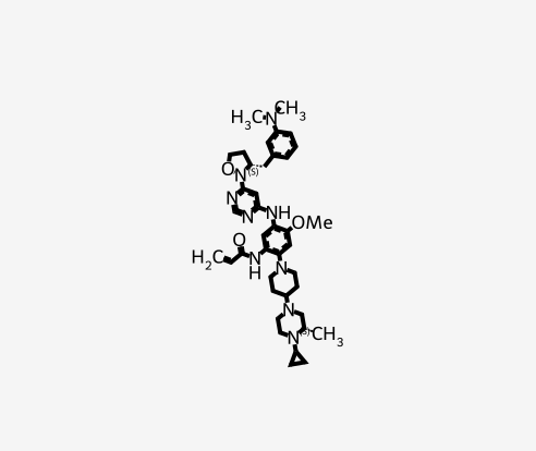 C=CC(=O)Nc1cc(Nc2cc(N3OCC[C@@H]3Cc3cccc(N(C)C)c3)ncn2)c(OC)cc1N1CCC(N2CCN(C3CC3)[C@@H](C)C2)CC1